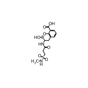 CNS(=O)(=O)CCC(=O)NC1Cc2cccc(C(=O)O)c2OB1O